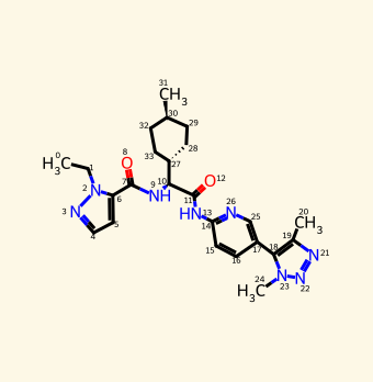 CCn1nccc1C(=O)N[C@H](C(=O)Nc1ccc(-c2c(C)nnn2C)cn1)[C@H]1CC[C@H](C)CC1